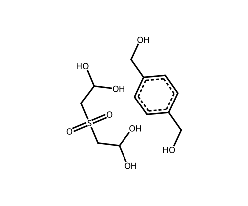 O=S(=O)(CC(O)O)CC(O)O.OCc1ccc(CO)cc1